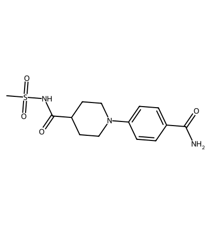 CS(=O)(=O)NC(=O)C1CCN(c2ccc(C(N)=O)cc2)CC1